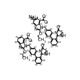 CCOc1nc2cccc(C(=O)[O-])c2n1Cc1ccc(-c2ccccc2-c2nc(=O)s[nH]2)cc1.CCOc1nc2cccc(C(=O)[O-])c2n1Cc1ccc(-c2ccccc2-c2nc(=O)s[nH]2)cc1.[Na+].[Na+]